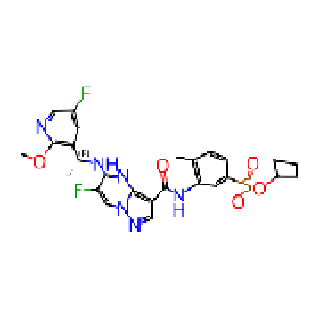 COc1ncc(F)cc1[C@@H](C)Nc1nc2c(C(=O)Nc3cc(S(=O)(=O)OC4CCC4)ccc3C)cnn2cc1F